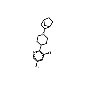 CC(C)(C)c1cnc(N2CCN([C@H]3CC4CCC3C4)CC2)c(Cl)c1